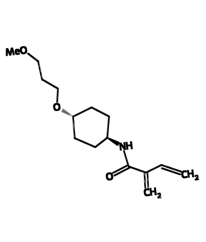 C=CC(=C)C(=O)N[C@H]1CC[C@H](OCCCOC)CC1